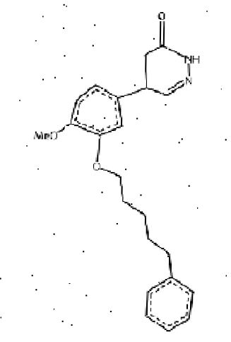 COc1ccc(C2C=NNC(=O)C2)cc1OCCCCCc1ccccc1